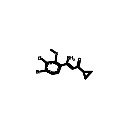 CSc1c(C(N)=CC(=O)C2CC2)ccc(Br)c1Cl